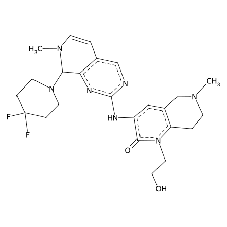 CN1CCc2c(cc(Nc3ncc4c(n3)C(N3CCC(F)(F)CC3)N(C)C=C4)c(=O)n2CCO)C1